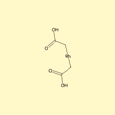 O=C(O)[CH2][Rh][CH2]C(=O)O